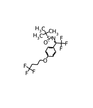 CC(C)(C)[S+]([O-])/N=C(\c1ccc(OCCCC(F)(F)F)cc1)C(F)(F)F